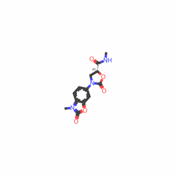 CNC(=O)[C@H]1CN(c2ccc3c(c2)oc(=O)n3C)C(=O)O1